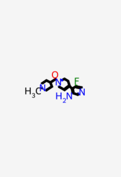 CN1CCC(C(=O)N2CC=C(c3c(N)cncc3F)CC2)CC1